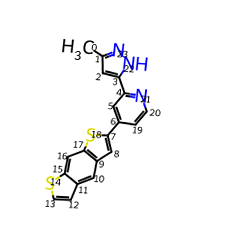 Cc1cc(-c2cc(-c3cc4cc5ccsc5cc4s3)ccn2)[nH]n1